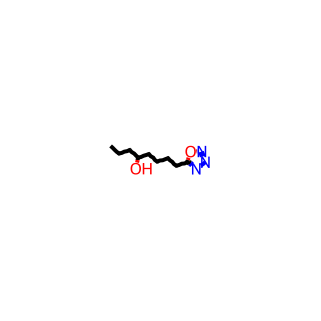 CCCC(O)CCCCc1nnno1